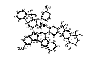 CC(C)(C)c1ccc(Nc2cc3c(cc2-c2c4c5c(c6cc(C(C)(C)C)ccc6n5-c5cc6c(cc5B4)C(C)(C)c4ccccc4-6)c4oc5ccccc5c24)-c2cc4c(cc2C3(C)C)C(C)(C)CCC4(C)C)cc1